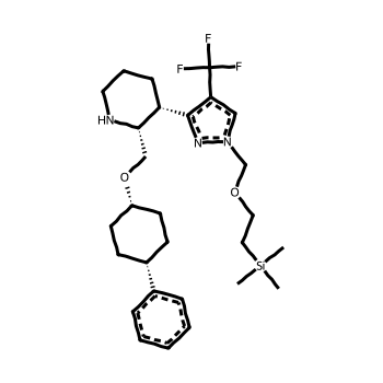 C[Si](C)(C)CCOCn1cc(C(F)(F)F)c([C@H]2CCCN[C@H]2CO[C@H]2CC[C@@H](c3ccccc3)CC2)n1